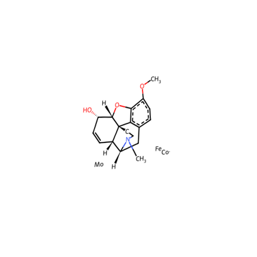 COc1ccc2c3c1O[C@H]1[C@@H](O)C=C[C@H]4[C@@H](C2)N(C)CC[C@@]341.[Co].[Fe].[Mo]